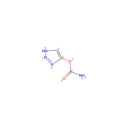 NC(=O)Oc1c[nH]nn1